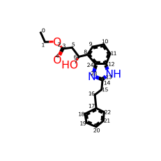 CCOC(=O)CC(O)c1cccc2[nH]c(CCc3ccccc3)nc12